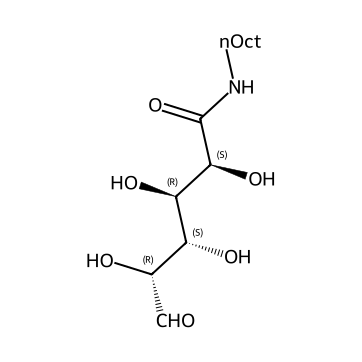 CCCCCCCCNC(=O)[C@@H](O)[C@H](O)[C@H](O)[C@@H](O)C=O